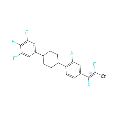 CC/C(F)=C(\F)c1ccc(C2CCC(c3cc(F)c(F)c(F)c3)CC2)c(F)c1